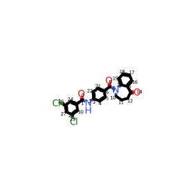 O=C(Nc1ccc(C(=O)N2CCCC(=O)c3ccccc32)cc1)c1cc(Cl)cc(Cl)c1